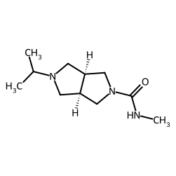 CNC(=O)N1C[C@@H]2CN(C(C)C)C[C@@H]2C1